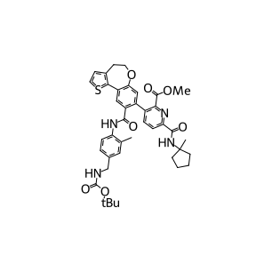 COC(=O)c1nc(C(=O)NC2(C)CCCC2)ccc1-c1cc2c(cc1C(=O)Nc1ccc(CNC(=O)OC(C)(C)C)cc1C)-c1sccc1CCO2